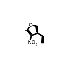 C=Cc1co[c]c1[N+](=O)[O-]